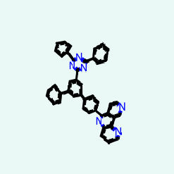 c1ccc(-c2cc(-c3ccc(-c4nc5cccnc5c5cnccc45)cc3)cc(-c3nc(-c4ccccc4)nc(-c4ccccc4)n3)c2)cc1